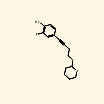 Nc1ccc(C#CCCOC2CCCCO2)cc1F